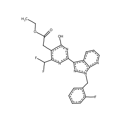 CCOC(=O)Cc1c(O)nc(-c2nn(Cc3ccccc3F)c3ncccc23)nc1C(F)F